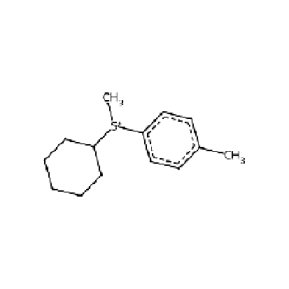 Cc1ccc([S+](C)C2CCCCC2)cc1